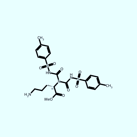 COC(=O)[C@H](CCCN)N(C(=O)NS(=O)(=O)c1ccc(C)cc1)C(=O)NS(=O)(=O)c1ccc(C)cc1